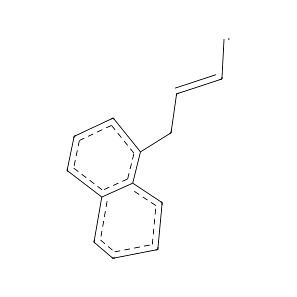 [CH2]C=CCc1cccc2ccccc12